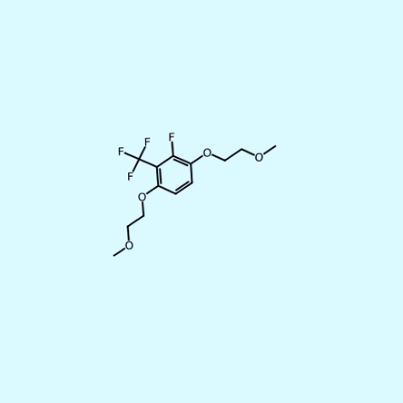 COCCOc1ccc(OCCOC)c(C(F)(F)F)c1F